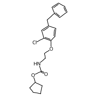 O=C(NCCOc1ccc(Cc2ccccc2)cc1Cl)OC1CCCC1